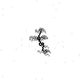 CC[Si](CC)(CC)OC(C)(C)CCCC(C)C1CCC2/C(=C/C=C3\C[C@@H](CC(C)(C)[Si](C)(C)O)/C(=C\CCCC(C)(C)[Si](C)(C)O)[C@H](O[Si](C)(C)C(C)(C)C)C3)CCC[C@@]21C